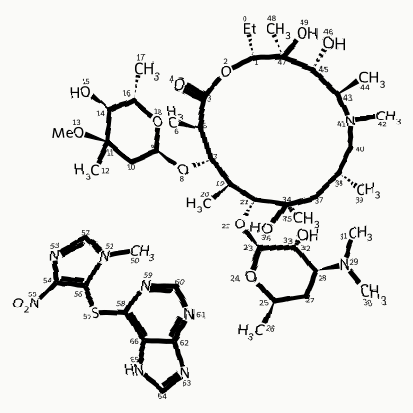 CC[C@H]1OC(=O)[C@H](C)[C@@H](O[C@H]2C[C@@](C)(OC)[C@@H](O)[C@H](C)O2)[C@H](C)[C@@H](O[C@@H]2O[C@H](C)C[C@H](N(C)C)[C@H]2O)[C@](C)(O)C[C@@H](C)CN(C)[C@H](C)[C@@H](O)[C@]1(C)O.Cn1cnc([N+](=O)[O-])c1Sc1ncnc2nc[nH]c12